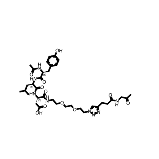 CC(=O)CNC(=O)CCc1cn(CCOCCOCCNC(=O)[C@H](CC(=O)O)NC(=O)[C@@H](CC(C)C)NC(=O)[C@H](Cc2ccc(O)cc2)NC(C)=O)nn1